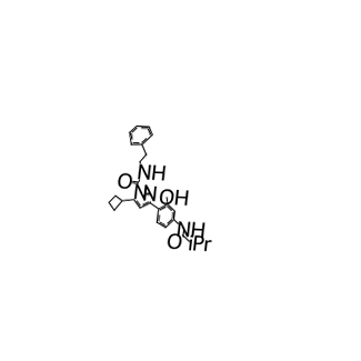 CC(C)C(=O)Nc1ccc(-c2cc(C3CCC3)n(C(=O)NCCc3ccccc3)n2)c(O)c1